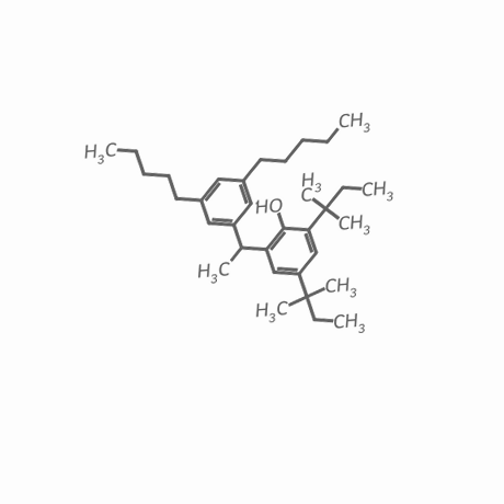 CCCCCc1[c]c(C(C)c2cc(C(C)(C)CC)cc(C(C)(C)CC)c2O)cc(CCCCC)c1